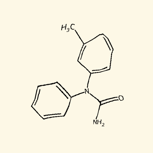 Cc1cccc(N(C(N)=O)c2ccccc2)c1